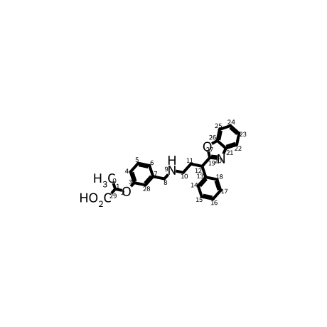 CC(Oc1cccc(CNCCC(c2ccccc2)c2nc3ccccc3o2)c1)C(=O)O